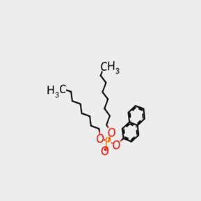 CCCCCCCCOP(=O)(OCCCCCCCC)Oc1ccc2ccccc2c1